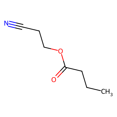 CCCC(=O)OCCC#N